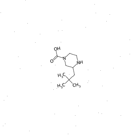 CC(C)(C)CC1CN(C(=O)O)CCN1